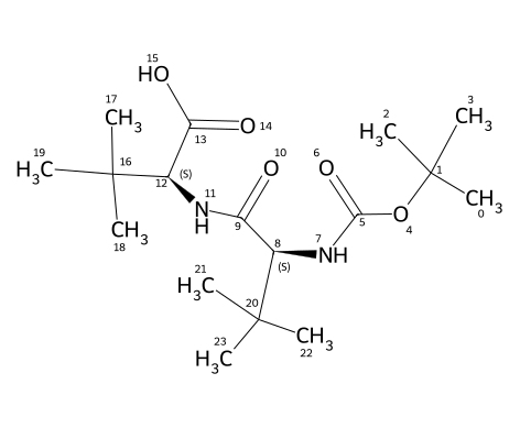 CC(C)(C)OC(=O)N[C@H](C(=O)N[C@H](C(=O)O)C(C)(C)C)C(C)(C)C